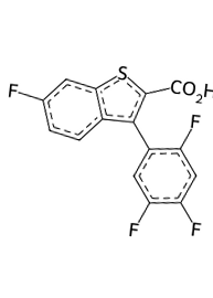 O=C(O)c1sc2cc(F)ccc2c1-c1cc(F)c(F)cc1F